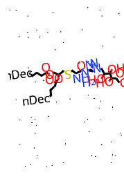 CCCCCCCCCCCCCC(=O)OCC(CSCC(N)C(=O)Nc1cn(CC(O)C(O)C(O)C(O)CO)nn1)OC(=O)CCCCCCCCCCCCC